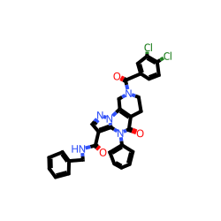 O=C(NCc1ccccc1)c1cnn2c3c(c(=O)n(-c4ccccc4)c12)CCN(C(=O)c1ccc(Cl)c(Cl)c1)C3